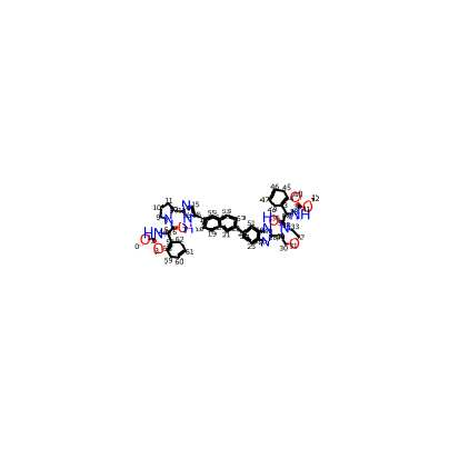 COC(=O)N[C@@H](C(=O)N1CCC[C@H]1c1ncc(-c2ccc3cc(-c4ccc5nc([C@@H]6COCCN6C(=O)[C@H](NC(=O)OC)C6=CCC=CC6)[nH]c5c4)ccc3c2)[nH]1)C1=CCC=CC1